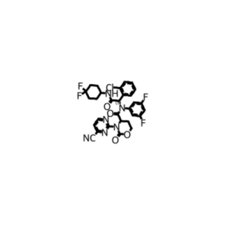 N#Cc1ccnc(N2C(=O)OCCC2C(=O)N(c2cc(F)cc(F)c2)[C@H](C(=O)NC2CCC(F)(F)CC2)c2ccccc2Cl)n1